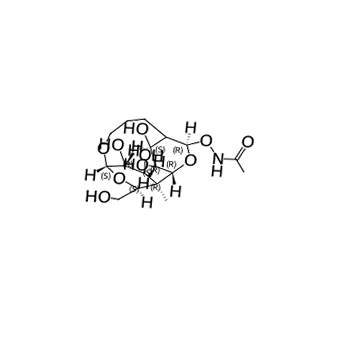 CC(=O)NO[C@H]1O[C@H]2[C@H](O)[C@@H](O)C1CCCO[C@H]1O[C@H](CO)[C@@]2(C)[C@H](O)[C@H]1O